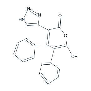 O=c1oc(O)c(-c2ccccc2)c(-c2ccccc2)c1-c1c[nH]nn1